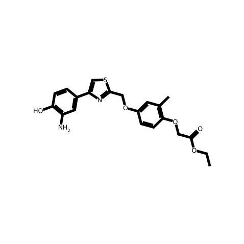 CCOC(=O)COc1ccc(OCc2nc(-c3ccc(O)c(N)c3)cs2)cc1C